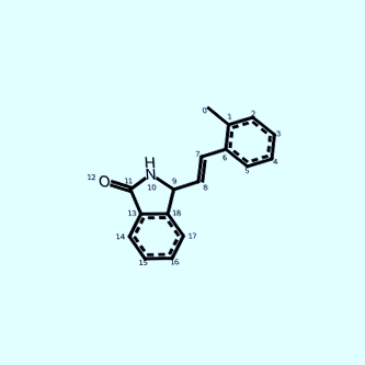 Cc1ccccc1C=CC1NC(=O)c2ccccc21